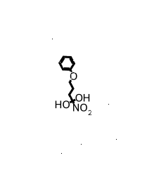 O=[N+]([O-])C(O)(O)CCCOc1ccccc1